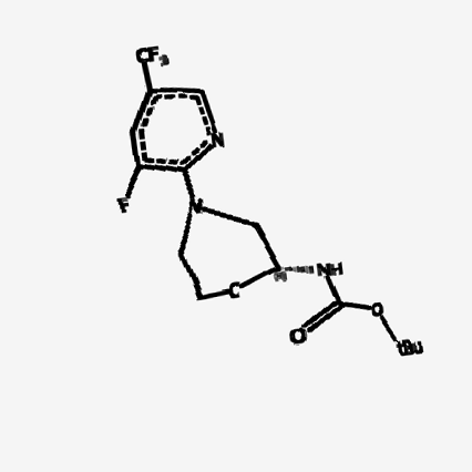 CC(C)(C)OC(=O)N[C@@H]1CCCN(c2ncc(C(F)(F)F)cc2F)C1